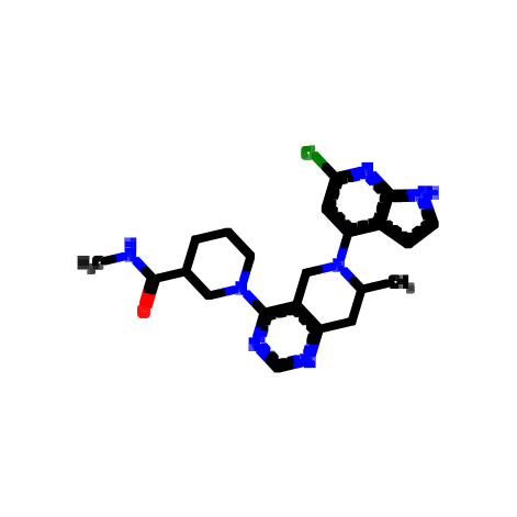 CNC(=O)C1CCCN(c2ncnc3c2CN(c2cc(Cl)nc4[nH]ccc24)C(C)C3)C1